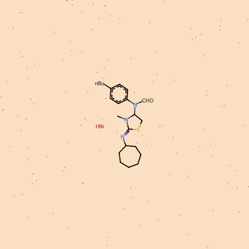 Br.CCCCc1ccc(N(C=O)C2CSC(=NC3CCCCCC3)N2C)cc1